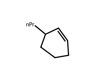 CCCC1C=CCCC1